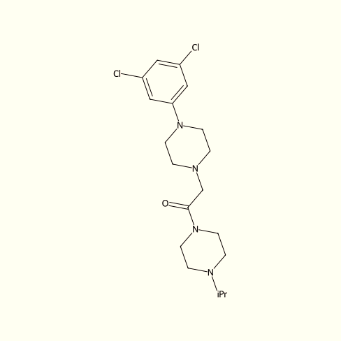 CC(C)N1CCN(C(=O)CN2CCN(c3cc(Cl)cc(Cl)c3)CC2)CC1